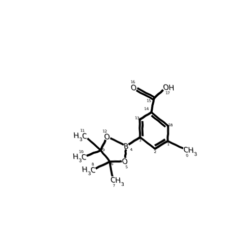 Cc1cc(B2OC(C)(C)C(C)(C)O2)cc(C(=O)O)c1